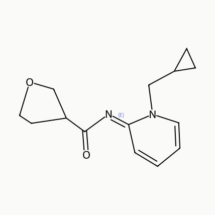 O=C(/N=c1\ccccn1CC1CC1)C1CCOC1